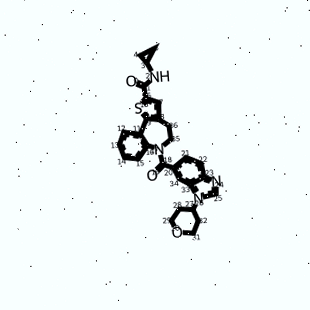 O=C(NC1CC1)c1cc2c(s1)-c1ccccc1N(C(=O)c1ccc3ncn(C4CCOCC4)c3c1)CC2